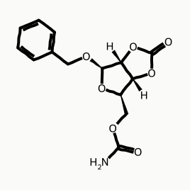 NC(=O)OC[C@H]1O[C@@H](OCc2ccccc2)[C@@H]2OC(=O)O[C@@H]21